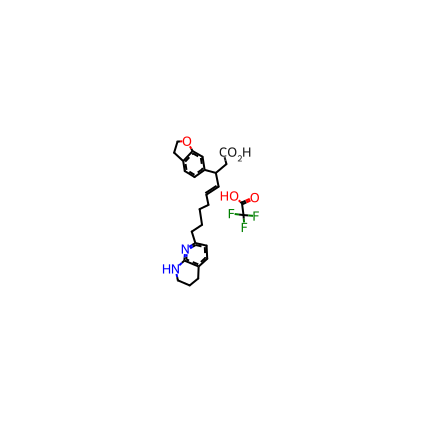 O=C(O)C(F)(F)F.O=C(O)CC(C=CCCCCc1ccc2c(n1)NCCC2)c1ccc2c(c1)OCC2